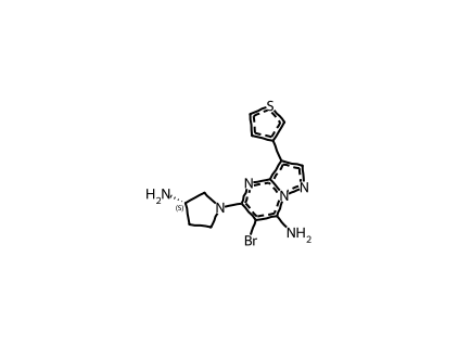 Nc1c(Br)c(N2CC[C@H](N)C2)nc2c(-c3ccsc3)cnn12